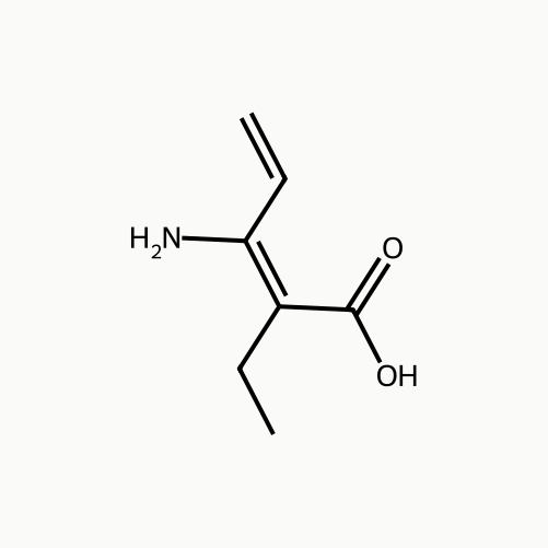 C=CC(N)=C(CC)C(=O)O